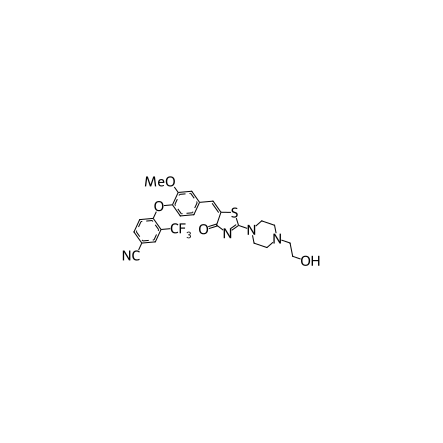 COc1cc(C=C2SC(N3CCN(CCO)CC3)=NC2=O)ccc1Oc1ccc(C#N)cc1C(F)(F)F